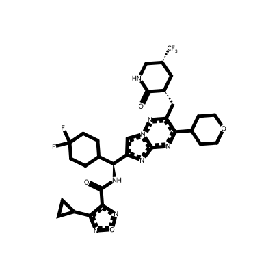 O=C(N[C@H](c1cn2nc(C[C@H]3C[C@@H](C(F)(F)F)CNC3=O)c(C3CCOCC3)nc2n1)C1CCC(F)(F)CC1)c1nonc1C1CC1